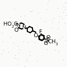 CS(=O)(=O)c1ccc(OCC2CCC(N3CCN(C(=O)O)C(=O)C3)CC2)c(F)c1